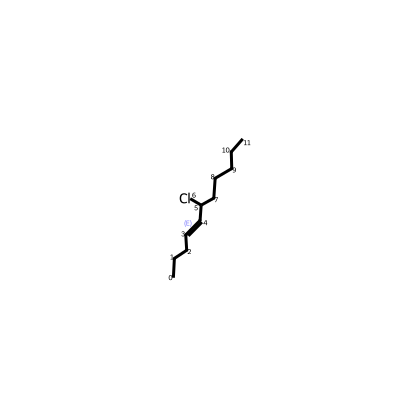 CCC/C=C/C(Cl)CCCCC